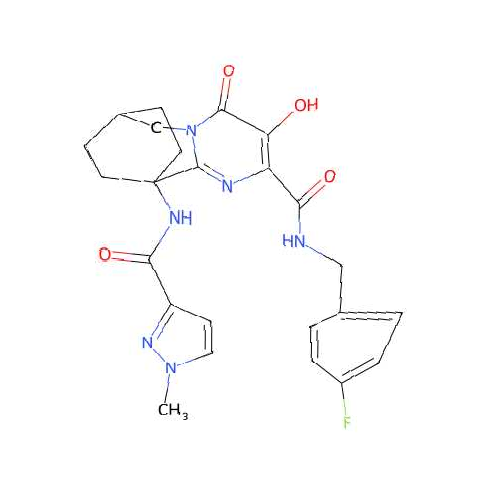 Cn1ccc(C(=O)NC23CCC(CC2)Cn2c3nc(C(=O)NCc3ccc(F)cc3)c(O)c2=O)n1